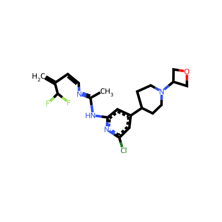 C=C(/C=C\N=C(/C)Nc1cc(C2CCN(C3COC3)CC2)cc(Cl)n1)C(F)F